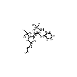 CCCO[C@@H]1C[C@H]([C@H]2OC(C)(C)N[C@H]2Cc2ccccc2)N(C(C)(C)C)C1